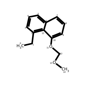 CCc1cccc2cccc(OCOC)c12